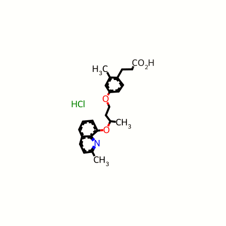 Cc1ccc2cccc(OC(C)CCOc3ccc(CCC(=O)O)c(C)c3)c2n1.Cl